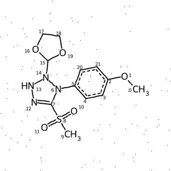 COc1ccc(N2C(S(C)(=O)=O)=NNN2C2OCCO2)cc1